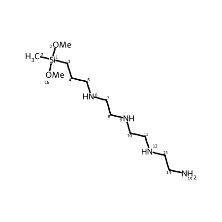 CO[Si](C)(CCCNCCNCCNCCN)OC